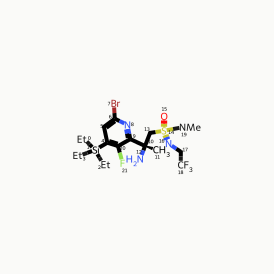 CC[Si](CC)(CC)c1cc(Br)nc([C@@](C)(N)CS(=O)(=NCC(F)(F)F)NC)c1F